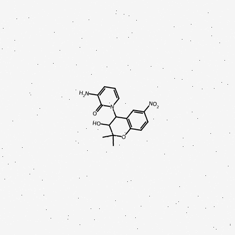 CC1(C)Oc2ccc([N+](=O)[O-])cc2C(n2cccc(N)c2=O)C1O